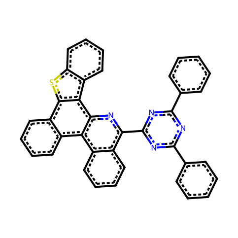 c1ccc(-c2nc(-c3ccccc3)nc(-c3nc4c(c5ccccc35)c3ccccc3c3sc5ccccc5c43)n2)cc1